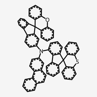 c1ccc2c(c1)Oc1ccccc1C21c2ccccc2-c2ccc(N(c3ccc4c(ccc5ccccc54)c3)c3cccc4c3-c3ccccc3C43c4ccccc4Sc4ccccc43)cc21